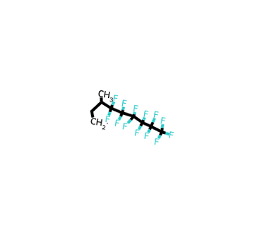 [CH2]CC(C)C(F)(F)C(F)(F)C(F)(F)C(F)(F)C(F)(F)C(F)(F)F